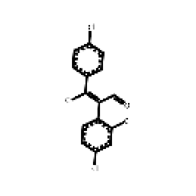 O=C/C(=C(/Cl)c1ccc(Cl)cc1)c1ccc(Cl)cc1Cl